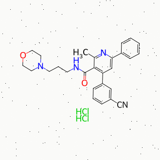 Cc1nc(-c2ccccc2)cc(-c2cccc(C#N)c2)c1C(=O)NCCCN1CCOCC1.Cl.Cl